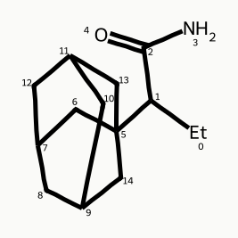 CCC(C(N)=O)C12CC3CC(CC(C3)C1)C2